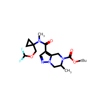 CC1Cn2ncc(C(=O)N(C)C3(COC(F)F)CC3)c2CN1C(=O)OC(C)(C)C